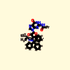 [CH2][C@H]1O[C@@H](n2cnc3c(=O)[nH]c(NC(=O)C(C)C)nc32)[C@H](O[Si](C)(C)C(C)(C)C)C1NC(c1ccccc1)(c1ccccc1)c1ccccc1